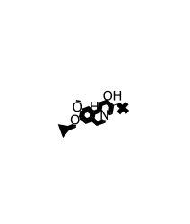 COc1cc2c(cc1OCC1CC1)CCN1C[C@@H](CC(C)(C)C)[C@H](O)C[C@H]21